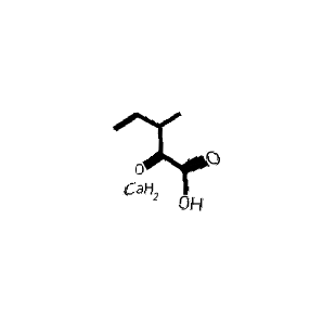 CCC(C)C(=O)C(=O)O.[CaH2]